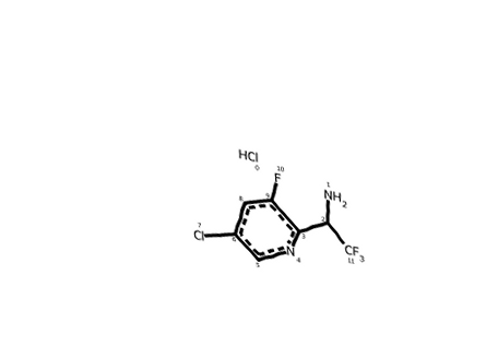 Cl.NC(c1ncc(Cl)cc1F)C(F)(F)F